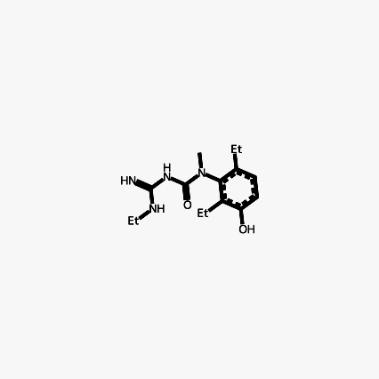 CCNC(=N)NC(=O)N(C)c1c(CC)ccc(O)c1CC